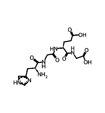 N[C@@H](Cc1c[nH]cn1)C(=O)NCC(=O)N[C@@H](CCC(=O)O)C(=O)NCC(=O)O